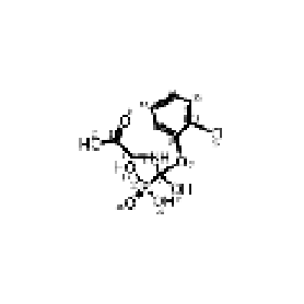 O=C(O)CNC(O)(Oc1ccccc1Cl)P(=O)(O)O